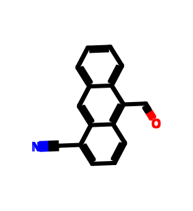 N#Cc1cccc2c(C=O)c3ccccc3cc12